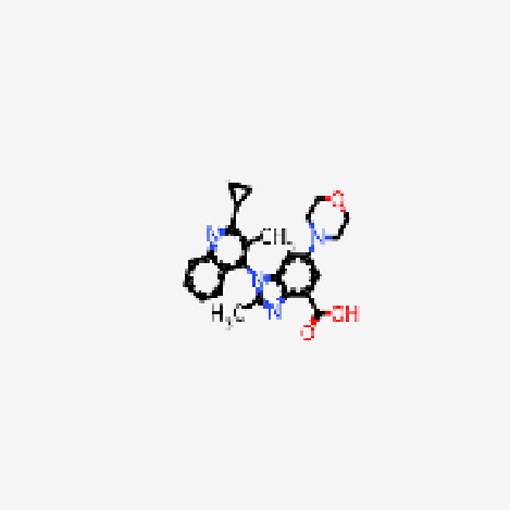 Cc1c(C2CC2)nc2ccccc2c1-n1c(C)nc2c(C(=O)O)cc(N3CCOCC3)cc21